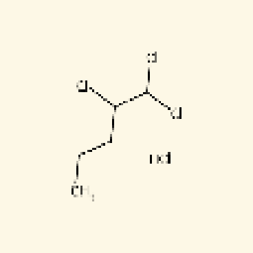 CCCC(Cl)C(Cl)Cl.Cl